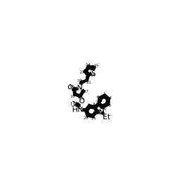 CCn1c2ccccc2c2cc(NC(=O)OC3CC(=O)N(CCc4cccs4)C3)ccc21